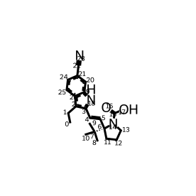 CCc1c(C=C[C@]2(C(C)(C)C)CCCN2C(=O)O)[nH]c2cc(C#N)ccc12